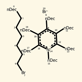 CCCCCCCCCCCCCCCCBr.CCCCCCCCCCc1c(CCCCCCCCCC)c(CCCCCCCCCC)[n+](CCCCCCCCCC)c(CCCCCCCCCC)c1CCCCCCCCCC.[Br-]